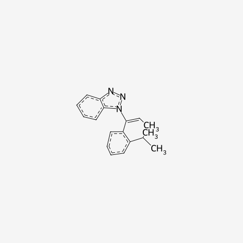 C/C=C(\c1ccccc1C(C)C)n1nnc2ccccc21